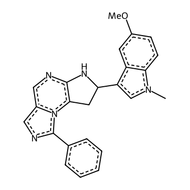 COc1ccc2c(c1)c(C1Cc3c(ncc4cnc(-c5ccccc5)n34)N1)cn2C